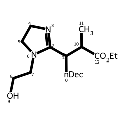 CCCCCCCCCCC(C1=NCCN1CCO)C(C)C(=O)OCC